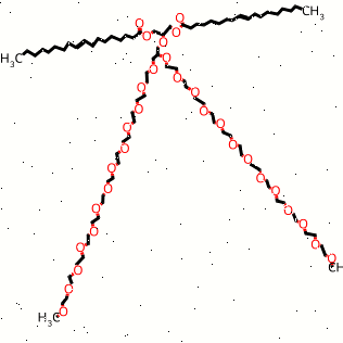 CCCCCCCC/C=C/CCCCCCCC(=O)OCC(COC(=O)CCCCCCC/C=C/CCCCCCCC)OCC(COCCOCCOCCOCCOCCOCCOCCOCCOCCOCCOCCOCCOC)OCCOCCOCCOCCOCCOCCOCCOCCOCCOCCOCCOCCOC